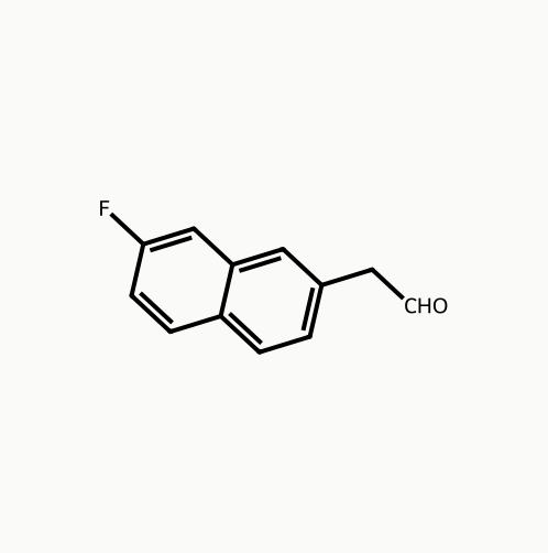 O=CCc1ccc2ccc(F)cc2c1